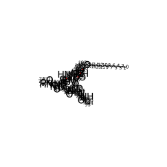 CCCCCCCCCCCCCCCCCCOc1cc(COC(=O)CCC(=O)OC[C@@H]2CN(P(C)(=O)OC[C@@H]3CN(P(C)(=O)OC[C@@H]4CNC[C@H](n5cc(C)c(=O)[nH]c5=O)O4)C[C@H](n4ccc(NC(=O)c5ccccc5)nc4=O)O3)C[C@H](n3ccc(NC(=O)c4ccccc4)nc3=O)O2)cc(C)c1C